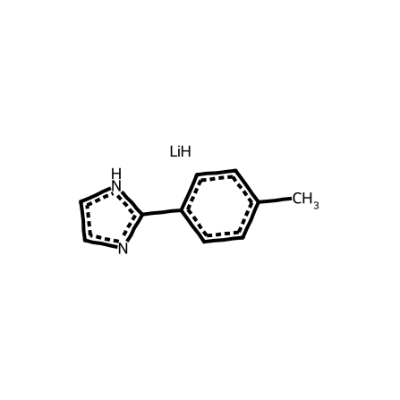 Cc1ccc(-c2ncc[nH]2)cc1.[LiH]